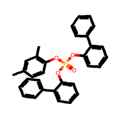 Cc1ccc(OP(=O)(Oc2ccccc2-c2ccccc2)Oc2ccccc2-c2ccccc2)c(C)c1